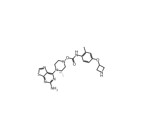 Cc1cc(OC2CNC2)ccc1NC(=O)ON1CCN(c2nc(N)nc3scnc23)[C@@H](C)C1